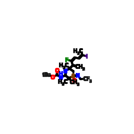 C=C(/C(F)=C\C=C(/C)I)[C@]1(C)C[S@](=O)(=NCC(F)(F)F)C(C)(C)C(NC(=O)OC(C)(C)C)=N1